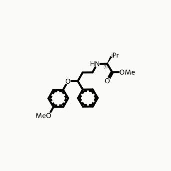 COC(=O)[C@@H](NCCC(Oc1ccc(OC)cc1)c1ccccc1)C(C)C